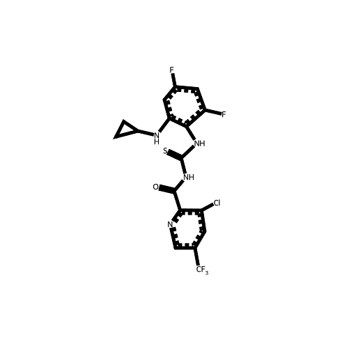 O=C(NC(=S)Nc1c(F)cc(F)cc1NC1CC1)c1ncc(C(F)(F)F)cc1Cl